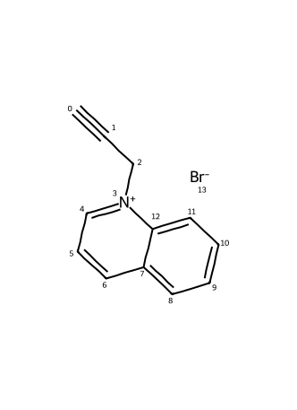 C#CC[n+]1cccc2ccccc21.[Br-]